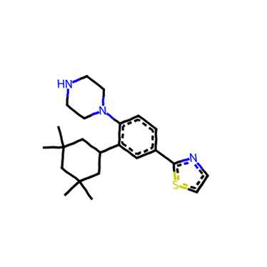 CC1(C)CC(c2cc(-c3nccs3)ccc2N2CCNCC2)CC(C)(C)C1